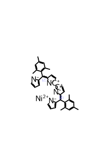 Cc1cc(C)c(/C(=C2\C=C[C+]([C+]3C=C/C(=C(/c4ccc[n-]4)c4c(C)cc(C)cc4C)[N-]3)[N-]2)c2ccc[n-]2)c(C)c1.[Ni+2]